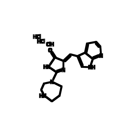 Cl.Cl.Cl.O=C1NC(N2CCCNCC2)=N/C1=C\c1c[nH]c2ncccc12